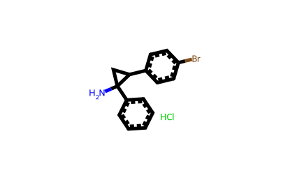 Cl.NC1(c2ccccc2)CC1c1ccc(Br)cc1